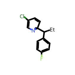 CCC(c1ccc(F)cc1)c1ccc(Cl)cn1